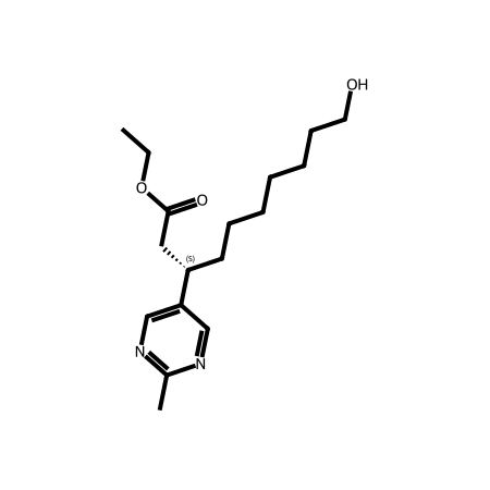 CCOC(=O)C[C@H](CCCCCCCO)c1cnc(C)nc1